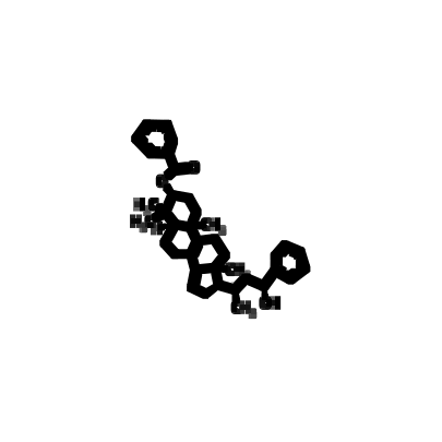 C[C@H](C[C@@H](O)c1ccccc1)[C@H]1CC=C2C3=C(CC[C@@]21C)[C@@]1(C)CC[C@H](OC(=O)c2ccccc2)C(C)(C)[C@@H]1CC3